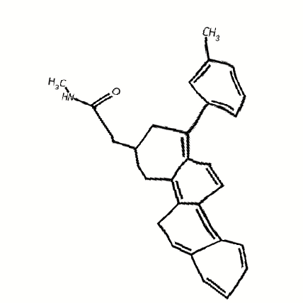 CNC(=O)CC1CC(c2cccc(C)c2)=c2ccc3c(c2C1)CC=c1ccccc1=3